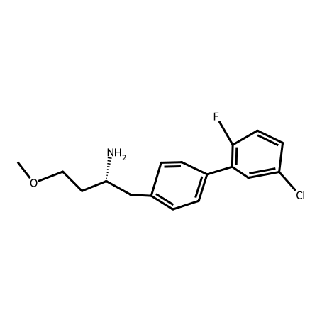 COCC[C@H](N)Cc1ccc(-c2cc(Cl)ccc2F)cc1